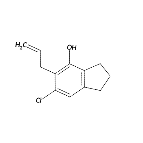 C=CCc1c(Cl)cc2c(c1O)CCC2